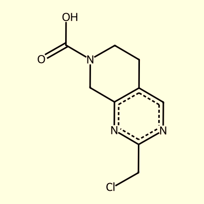 O=C(O)N1CCc2cnc(CCl)nc2C1